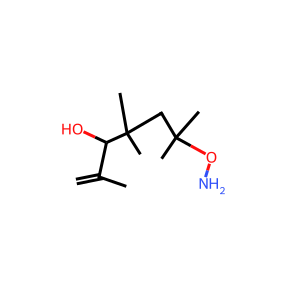 C=C(C)C(O)C(C)(C)CC(C)(C)ON